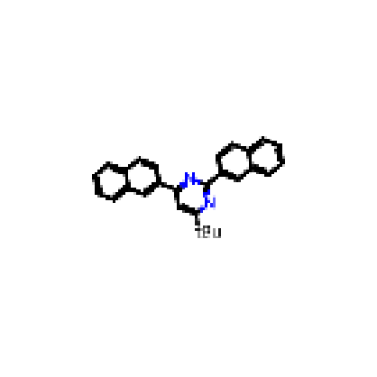 CC(C)(C)c1cc(-c2ccc3ccccc3c2)nc(-c2ccc3ccccc3c2)n1